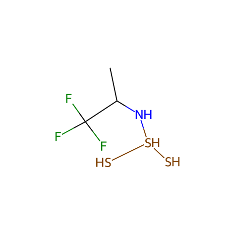 CC(N[SH](S)S)C(F)(F)F